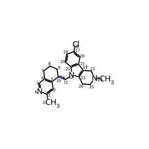 Cc1cc2c(cn1)CCC/C2=C\n1c2c(c3cc(Cl)ccc31)CN(C)CC2